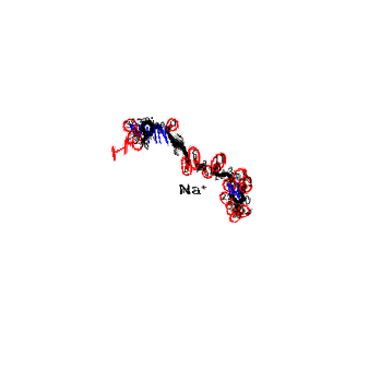 O=C(CCC(=O)OCCOC(=O)CCC(=O)ON1C(=O)CC(S(=O)(=O)[O-])C1=O)NCc1ccc([N+](=O)[O-])c(CO)c1.[Na+]